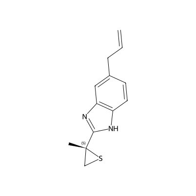 C=CCc1ccc2[nH]c([C@@]3(C)CS3)nc2c1